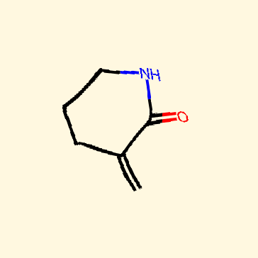 C=C1CCCNC1=O